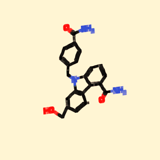 NC(=O)c1ccc(Cn2c3cc(CO)c[c]c3c3c(C(N)=O)cccc32)cc1